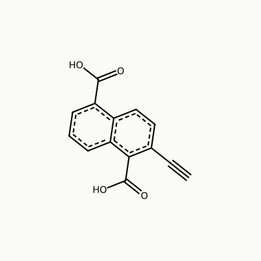 C#Cc1ccc2c(C(=O)O)cccc2c1C(=O)O